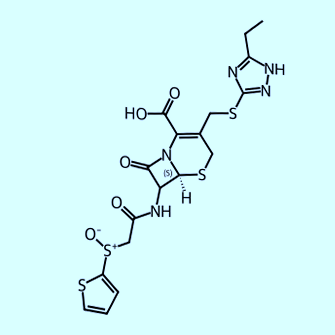 CCc1nc(SCC2=C(C(=O)O)N3C(=O)C(NC(=O)C[S+]([O-])c4cccs4)[C@@H]3SC2)n[nH]1